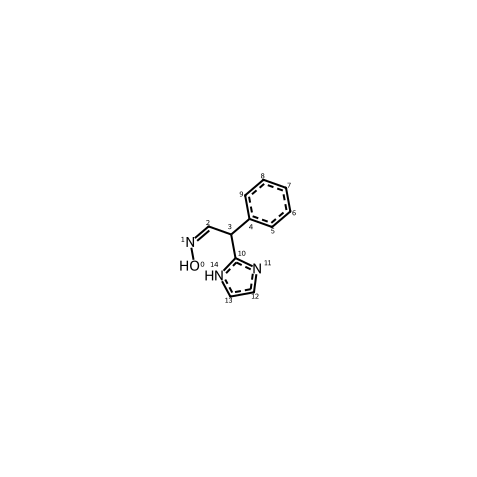 O/N=C\C(c1ccccc1)c1ncc[nH]1